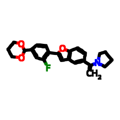 C=C(c1ccc2oc(-c3ccc(C4OCCCO4)cc3F)cc2c1)N1CCCC1